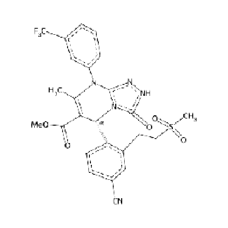 COC(=O)C1=C(C)N(c2cccc(C(F)(F)F)c2)c2n[nH]c(=O)n2[C@@H]1c1ccc(C#N)cc1CCS(C)(=O)=O